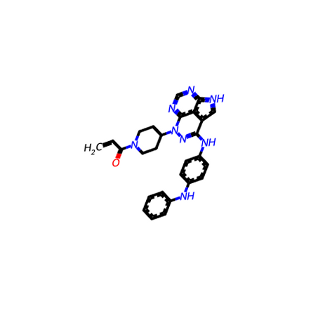 C=CC(=O)N1CCC(N2N=C(Nc3ccc(Nc4ccccc4)cc3)c3c[nH]c4ncnc2c34)CC1